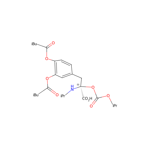 CCC(C)C(=O)Oc1ccc(C[C@](NC(C)C)(OC(=O)OC(C)C)C(=O)O)cc1OC(=O)C(C)CC